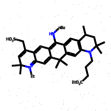 CCCCNC1=c2cc3c(cc2C(C)(C)c2cc4c(cc21)C(C)CC(C)(C)N4CCCC(=O)OCC)=[N+](CC)C(C)(C)C=C3CS(=O)(=O)O